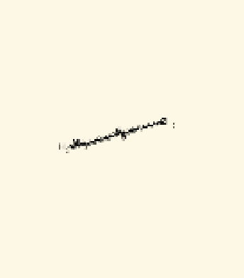 CCCCCCCCCCCCCCCCCC(=O)C(=O)CCCCCCCCCCCCCCCCCC(N)CN